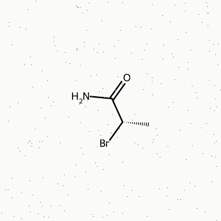 C[C@H](Br)C(N)=O